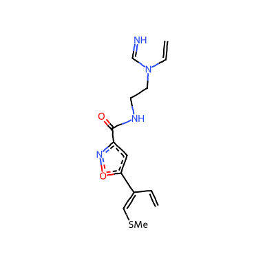 C=C/C(=C\SC)c1cc(C(=O)NCCN(C=C)C=N)no1